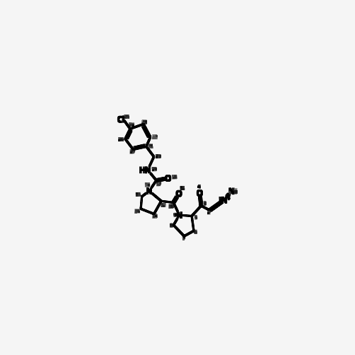 [N-]=[N+]=CC(=O)C1CCCN1C(=O)C1CCCN1C(=O)NCc1ccc(Cl)cc1